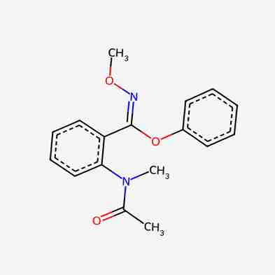 CON=C(Oc1ccccc1)c1ccccc1N(C)C(C)=O